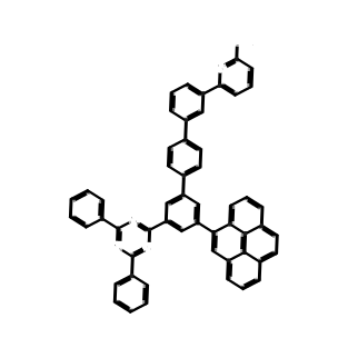 Cc1cccc(-c2cccc(-c3ccc(-c4cc(-c5nc(-c6ccccc6)nc(-c6ccccc6)n5)cc(-c5cc6cccc7ccc8cccc5c8c76)c4)cc3)c2)n1